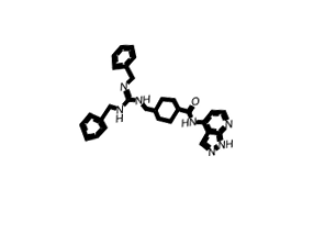 O=C(Nc1ccnc2[nH]ncc12)C1CCC(CN/C(=N\Cc2ccccc2)NCc2ccccc2)CC1